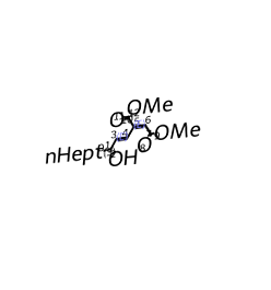 CCCCCCC[C@H](O)/C=C/C(=C\C(=O)OC)C(=O)OC